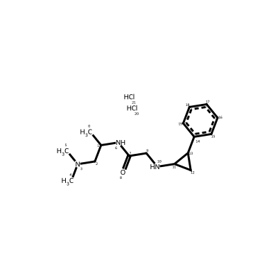 CC(CN(C)C)NC(=O)CNC1CC1c1ccccc1.Cl.Cl